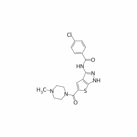 CN1CCN(C(=O)c2cc3c(NC(=O)c4ccc(Cl)cc4)n[nH]c3s2)CC1